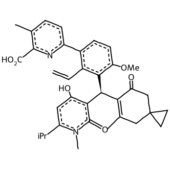 C=Cc1c(-c2ccc(C)c(C(=O)O)n2)ccc(OC)c1[C@@H](C1=C(C)CC2(CC2)CC1=O)c1c(O)cc(C(C)C)n(C)c1=O